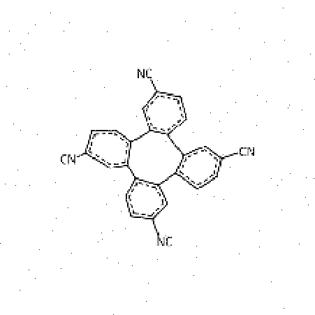 [C-]#[N+]c1ccc2c(c1)-c1ccc([N+]#[C-])cc1-c1ccc(C#N)cc1-c1ccc(C#N)cc1-2